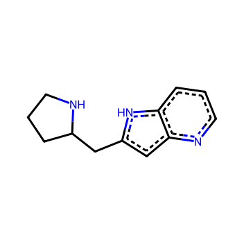 c1cnc2cc(CC3CCCN3)[nH]c2c1